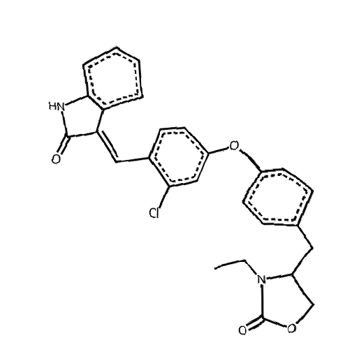 CCN1C(=O)OCC1Cc1ccc(Oc2ccc(/C=C3/C(=O)Nc4ccccc43)c(Cl)c2)cc1